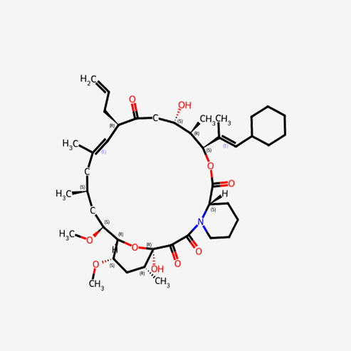 C=CC[C@@H]1/C=C(\C)C[C@H](C)C[C@H](OC)[C@H]2O[C@@](O)(C(=O)C(=O)N3CCCC[C@H]3C(=O)O[C@H](/C(C)=C/C3CCCCC3)[C@H](C)[C@@H](O)CC1=O)[C@H](C)C[C@@H]2OC